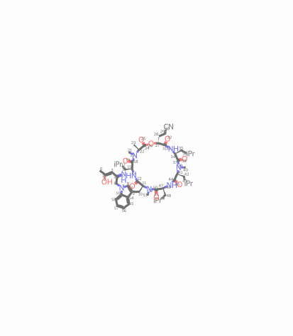 C/C(O)=C/C(=N)Cn1cc(C[C@H]2C(=O)N[C@@H](CC(C)C)C(=O)N(C)[C@@H](C)C(=O)O[C@H](CCC#N)C(=O)N[C@@H](CC(C)C)C(=O)N(C)[C@@H](CC(C)C)C(=O)N[C@@H](CC(C)C)C(=O)N2C)c2ccccc21